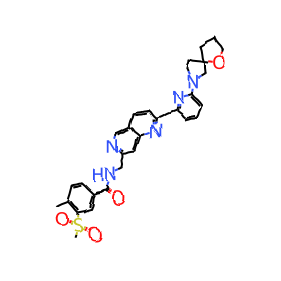 Cc1ccc(C(=O)NCc2cc3nc(-c4cccc(N5CCC6(CCCO6)C5)n4)ccc3cn2)cc1S(C)(=O)=O